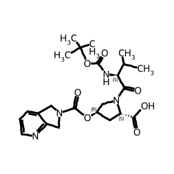 CC(C)[C@H](NC(=O)OC(C)(C)C)C(=O)N1C[C@H](OC(=O)N2Cc3cccnc3C2)C[C@H]1C(=O)O